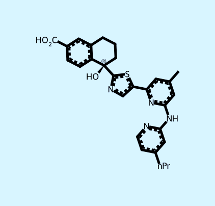 CCCc1ccnc(Nc2cc(C)cc(-c3cnc([C@@]4(O)CCCc5cc(C(=O)O)ccc54)s3)n2)c1